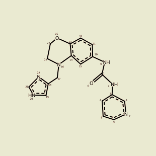 O=C(Nc1cccnc1)Nc1ccc2c(c1)N(Cc1c[nH]cn1)CCO2